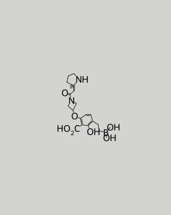 O=C(O)c1c(OC2CN(C(=O)C[C@H]3CCCN3)C2)ccc(CCB(O)O)c1O